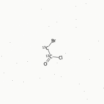 O=[13C](Cl)[13CH2]Br